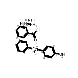 Cc1ccccc1.NN.O=C(Cl)c1ccccc1.Oc1ccc(Cl)cc1.[NaH]